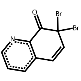 O=C1c2ncccc2C=CC1(Br)Br